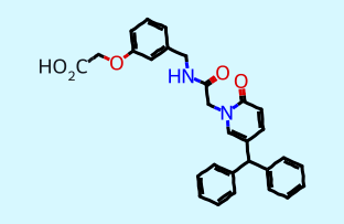 O=C(O)COc1cccc(CNC(=O)Cn2cc(C(c3ccccc3)c3ccccc3)ccc2=O)c1